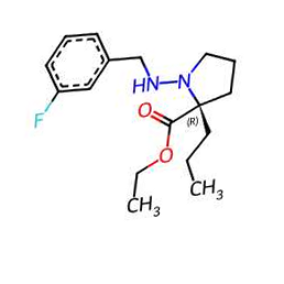 CCC[C@]1(C(=O)OCC)CCCN1NCc1cccc(F)c1